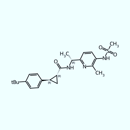 Cc1nc([C@@H](C)NC(=O)[C@@H]2C[C@H]2c2ccc(C(C)(C)C)cc2)ccc1NS(C)(=O)=O